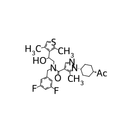 Cc1csc(C)c1C(O)CN(Cc1cc(F)cc(F)c1)C(=O)c1cnn([C@H]2CC[C@H](C(C)=O)CC2)c1C